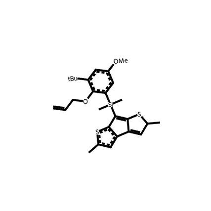 C=CCOc1c(C(C)(C)C)cc(OC)cc1[Si](C)(C)C1=C2SC(C)C=C2c2cc(C)sc21